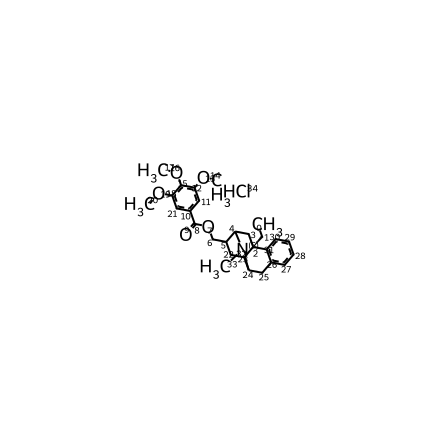 CC[C@]12CC3C(COC(=O)c4cc(OC)c(OC)c(OC)c4)CC1C(Cc1ccccc12)N3C.Cl